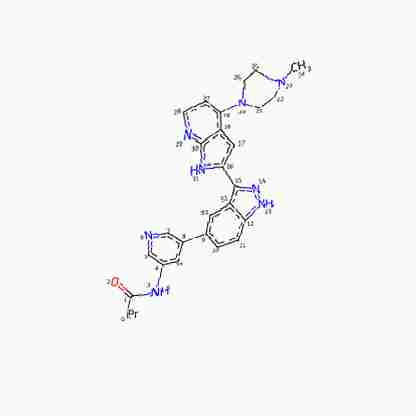 CC(C)C(=O)Nc1cncc(-c2ccc3[nH]nc(-c4cc5c(N6CCN(C)CC6)ccnc5[nH]4)c3c2)c1